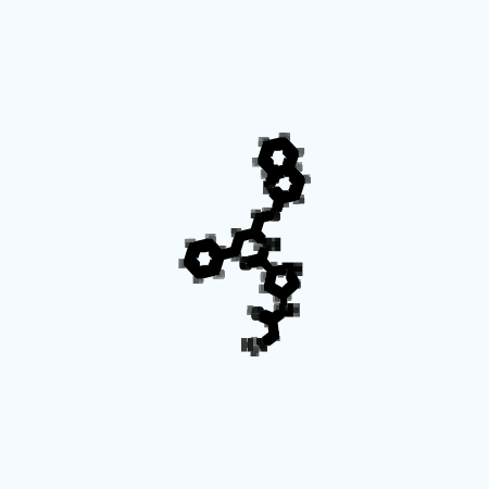 NCC(=O)N[C@H]1CN[C@H](C(=O)NC(CCc2ccccc2)CSc2ccc3ccccc3n2)C1